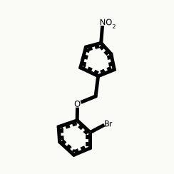 O=[N+]([O-])c1ccc(COc2ccccc2Br)cc1